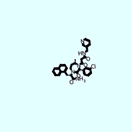 C[C@@H]1CCN([C@H](Cc2cccc3ccccc23)C(N)=O)C(=O)[C@H](c2cccc(Cl)c2)N1C(=O)CC(=O)NCc1cccnc1